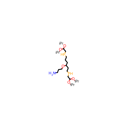 CC(C)OC(CPCCCC(CCPCC(OC(C)C)OC(C)C)OCCCN)OC(C)C